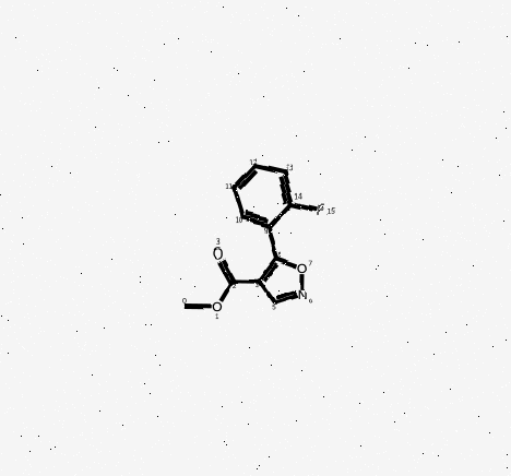 COC(=O)c1cnoc1-c1ccccc1F